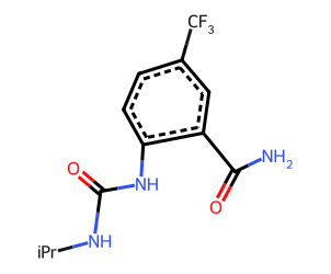 CC(C)NC(=O)Nc1ccc(C(F)(F)F)cc1C(N)=O